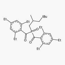 CCc1cc(CC)c(C(=O)P(=O)(CC(C)CC(C)(C)C)C(=O)c2c(CC)cc(CC)cc2CC)c(CC)c1